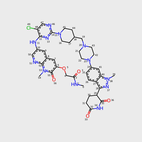 CNC(=O)COc1cc2cc(Nc3nc(N4CCC(CN5CCN(c6ccc7c(C8CCC(=O)NC8=O)nn(C)c7c6)CC5)CC4)ncc3Cl)cnc2n(C)c1=O